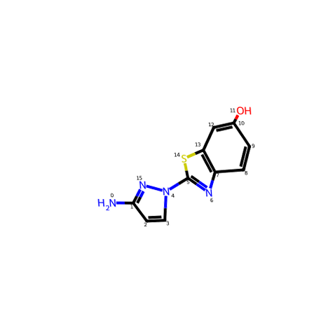 Nc1ccn(-c2nc3ccc(O)cc3s2)n1